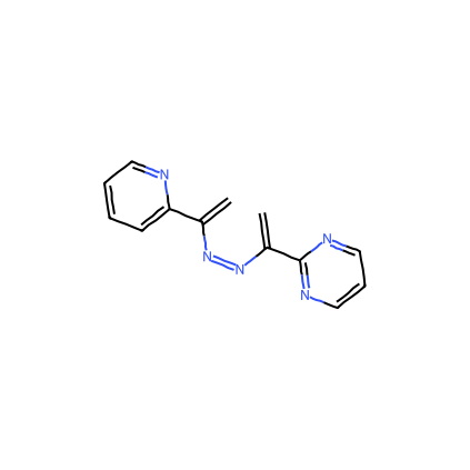 C=C(/N=N\C(=C)c1ncccn1)c1ccccn1